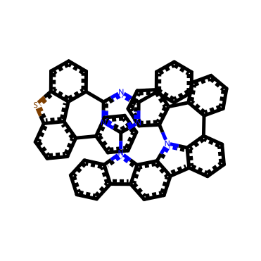 c1ccc(-c2nc(-c3cccc4sc5cccc(-c6ccccc6)c5c34)nc(-n3c4ccccc4c4ccc5c6cccc7c6n(c5c43)-c3ccccc3-c3ccccc3-7)n2)cc1